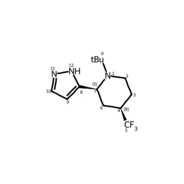 CC(C)(C)N1CC[C@@H](C(F)(F)F)C[C@H]1c1ccn[nH]1